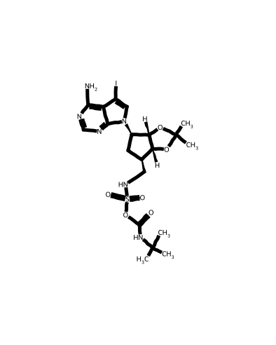 CC(C)(C)NC(=O)OS(=O)(=O)NC[C@H]1C[C@@H](n2cc(I)c3c(N)ncnc32)[C@@H]2OC(C)(C)O[C@H]12